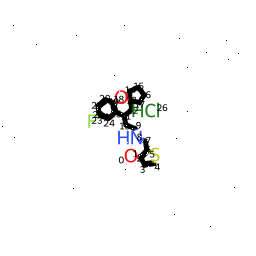 COc1ccsc1CNCCC1CC2(CCCC2)Oc2ccc(F)cc21.Cl